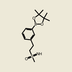 CC1(C)OB(c2cccc(CCS(C)(=N)=O)c2)OC1(C)C